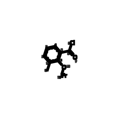 Cc1cccc(C(=O)Cl)c1OC(C)C